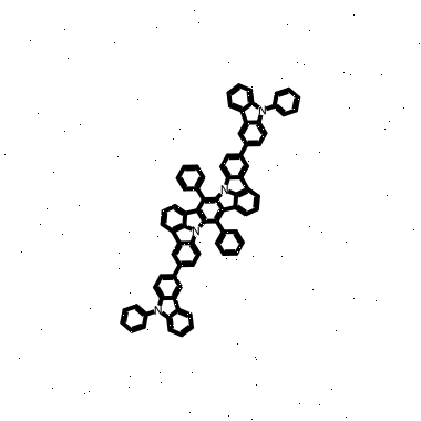 c1ccc(-c2c3c4cccc5c6cc(-c7ccc8c(c7)c7ccccc7n8-c7ccccc7)ccc6n(c3c(-c3ccccc3)c3c6cccc7c8cc(-c9ccc%10c(c9)c9ccccc9n%10-c9ccccc9)ccc8n(c23)c76)c54)cc1